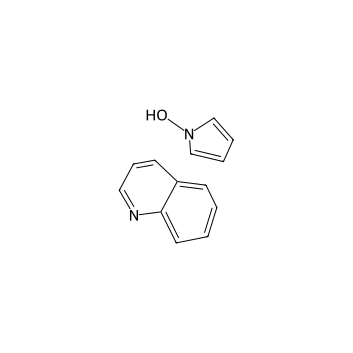 On1cccc1.c1ccc2ncccc2c1